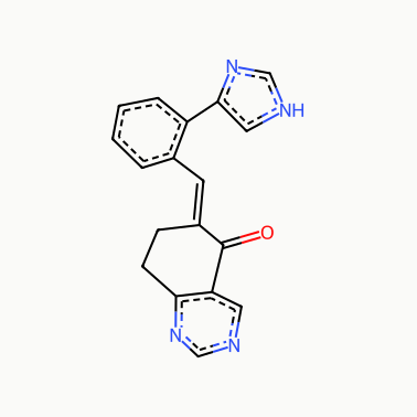 O=C1/C(=C/c2ccccc2-c2c[nH]cn2)CCc2ncncc21